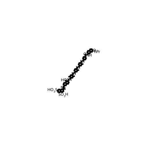 CCCOc1ccc2ccc(NC(=O)c3ccc(N=Nc4ccc(N=Nc5ccc(N=Nc6cc(C)c(N=Nc7ccc8cc(-n9nc%10ccc%11c(S(=O)(=O)O)cc(S(=O)(=O)O)cc%11c%10n9)ccc8c7O)cc6C)cc5C)cc4C)cc3)cc2c1